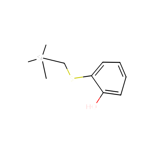 C[Si](C)(C)CSc1ccccc1O